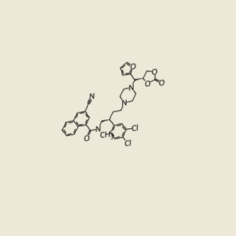 CN(C[C@@H](CCN1CCN(C(c2ccco2)[C@H]2COC(=O)O2)CC1)c1ccc(Cl)c(Cl)c1)C(=O)c1cc(C#N)cc2ccccc12